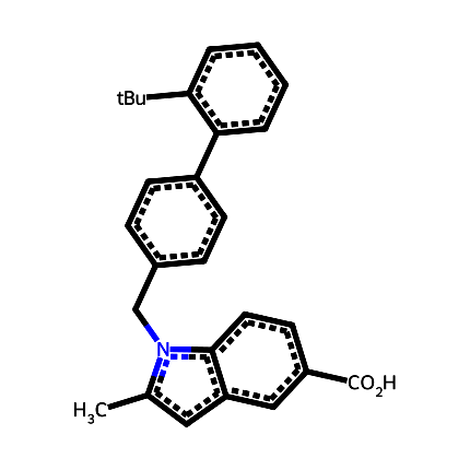 Cc1cc2cc(C(=O)O)ccc2n1Cc1ccc(-c2ccccc2C(C)(C)C)cc1